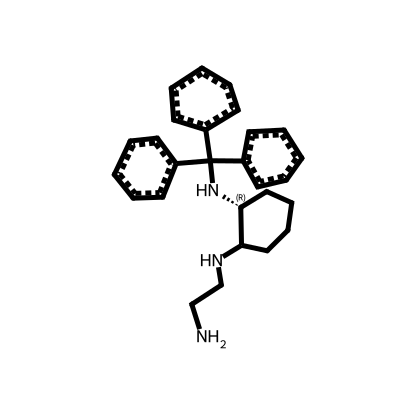 NCCNC1CCCC[C@H]1NC(c1ccccc1)(c1ccccc1)c1ccccc1